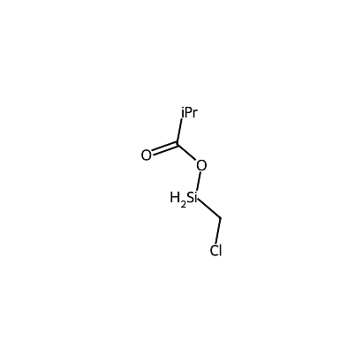 CC(C)C(=O)O[SiH2]CCl